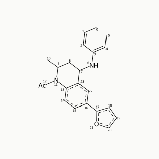 C/C=C\C(=C/C)NC1CC(C)N(C(C)=O)c2ccc(-c3ccco3)cc21